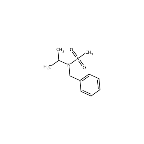 CC(C)N(Cc1ccccc1)S(C)(=O)=O